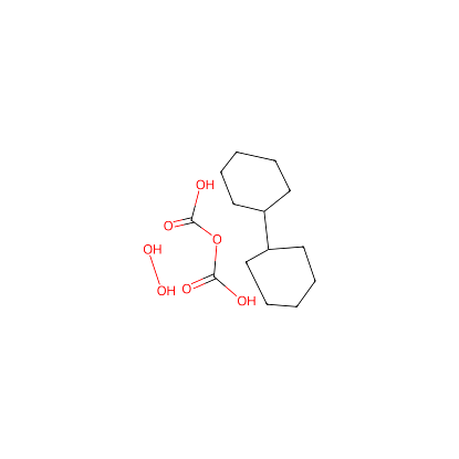 C1CCC(C2CCCCC2)CC1.O=C(O)OC(=O)O.OO